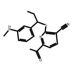 CCC(Sc1nc(C(C)=O)ccc1C#N)c1cccc(NC)c1